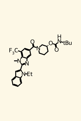 CCn1c(-c2nc3cc(C(=O)N4CCC[C@@H](OC(=O)NC(C)(C)C)C4)cc(C(F)(F)F)c3n2C)cc2ccccc21